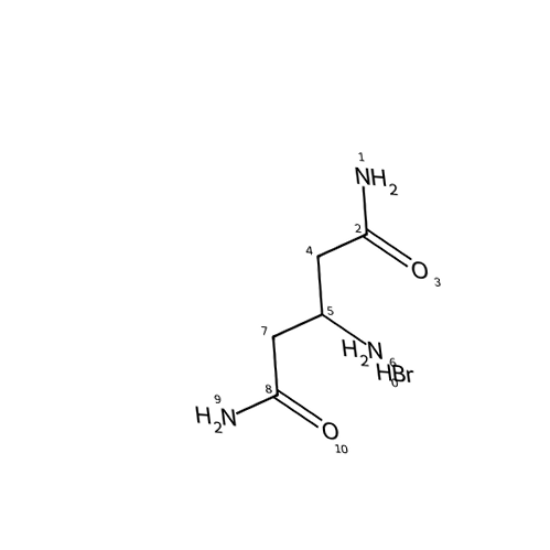 Br.NC(=O)CC(N)CC(N)=O